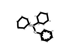 c1ccc(O[SiH](C2CCCCC2)C2CCCCC2)cc1